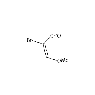 CO/C=C(/Br)C=O